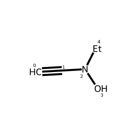 C#CN(O)CC